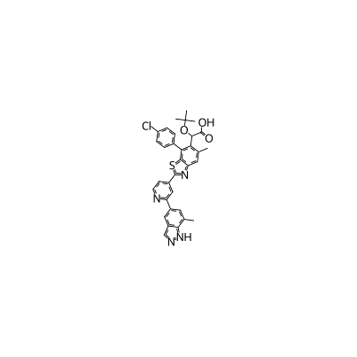 Cc1cc2nc(-c3ccnc(-c4cc(C)c5[nH]ncc5c4)c3)sc2c(-c2ccc(Cl)cc2)c1C(OC(C)(C)C)C(=O)O